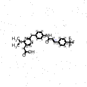 CN(C)c1nc(Cc2ccc(NC(=O)/C=C/c3ccc(C(F)(F)F)cc3)cc2)ncc1CC(=O)O